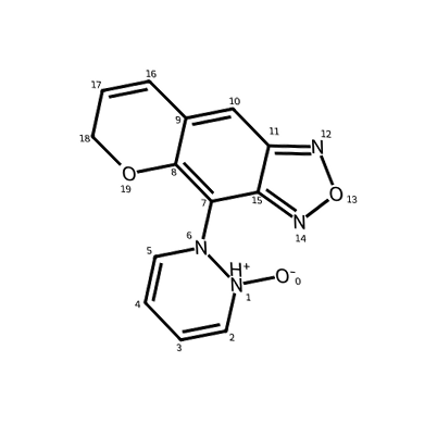 [O-][NH+]1C=CC=CN1c1c2c(cc3nonc13)C=CCO2